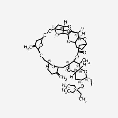 C=C1CC2CC[C@@]34C[C@H]5OC6C(OC7CCC(CC(=O)OC8[C@H](CC9O[C@H](CCC9=C)CCC1O2)O[C@H]1C[C@@H](O[Si](CC)(CC)CC)[C@@H](CI)O[C@H]1[C@@H]8C)O[C@@H]7[C@@H]6O3)C5O4